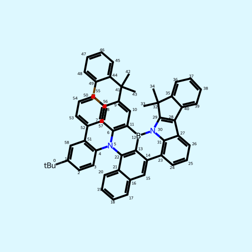 CC(C)(C)c1ccc(N2c3cc4c(cc3B3c5c(cc6ccccc6c52)-c2cccc5c6c(n3c25)C(C)(C)c2ccccc2-6)C(C)(C)c2ccccc2S4)c(-c2ccccc2)c1